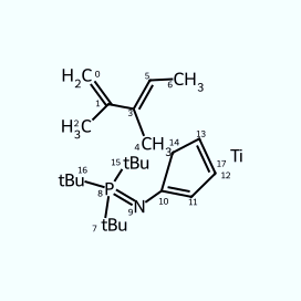 C=C(C)C(C)=CC.CC(C)(C)P(=NC1=CC=CC1)(C(C)(C)C)C(C)(C)C.[Ti]